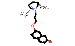 C[C@@H]1CCC[C@H](C)N1CCCOc1ccc2ccc(Br)cc2c1